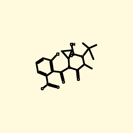 CC(C(=O)N(C(=O)c1c(Cl)cccc1[N+](=O)[O-])C1CC1)N(C(=O)O)C(C)(C)C